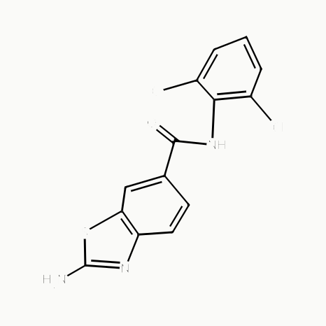 Nc1nc2ccc(C(=O)Nc3c(Cl)cccc3Cl)cc2s1